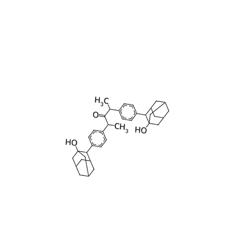 CC(C(=O)C(C)c1ccc(C2C3CC4CC(C3)CC2(O)C4)cc1)c1ccc(C2C3CC4CC(C3)CC2(O)C4)cc1